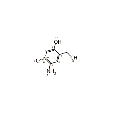 CCc1cc(N)[n+]([O-])cc1O